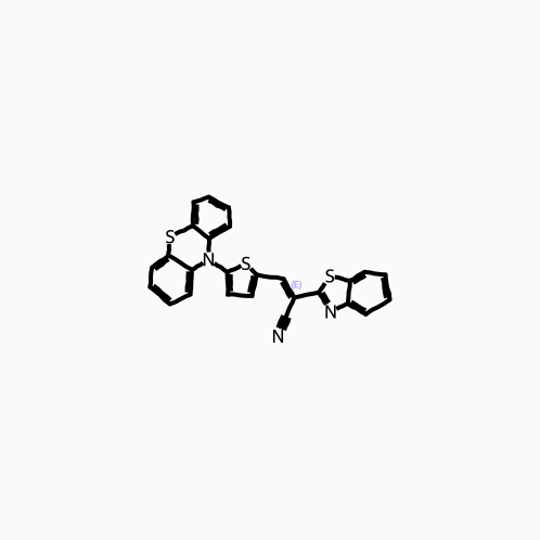 N#C/C(=C\c1ccc(N2c3ccccc3Sc3ccccc32)s1)c1nc2ccccc2s1